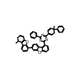 CC1CC=Cc2oc3c(-c4ccc5c(c4)oc4cccc(-c6nc(C7=CCC(C)(c8ccccc8)C=C7)nc(-c7ccccc7)n6)c45)cccc3c21